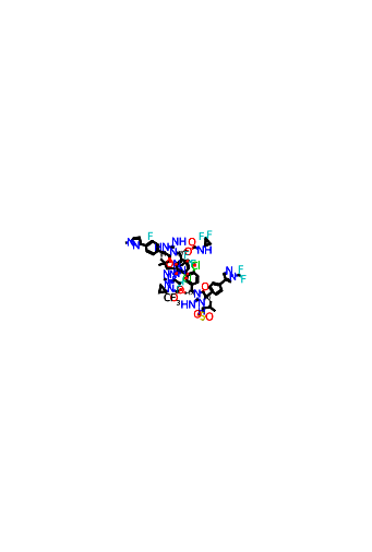 CC(C[C@]1(c2ccc(-c3cnn(C(F)F)c3)cc2)NC(=N)N([C@H](COC(=O)NC2(C(F)(F)F)CC2)c2ccc(Cl)c(-n3nc(CC(C)(C)C[C@]4(c5ccc(-c6ccn(C)n6)c(F)c5)NC(=N)N([C@H](COC(=O)NC5CC5(F)F)c5ccc(Cl)c(-n6ncnc6C(F)F)c5)C4=O)nc3C(F)F)c2)C1=O)CS(C)(=O)=O